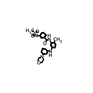 Cc1ccc(Nc2cccc(N3CCOCC3)c2)cc1NC(=O)c1cccc(NS(C)(=O)=O)c1